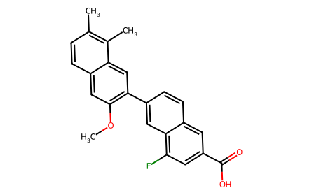 COc1cc2ccc(C)c(C)c2cc1-c1ccc2cc(C(=O)O)cc(F)c2c1